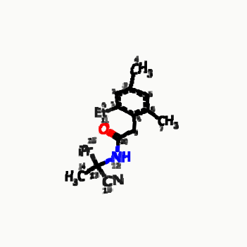 CCc1cc(C)cc(C)c1CC(=O)NC(C)(C#N)C(C)C